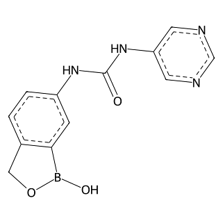 O=C(Nc1cncnc1)Nc1ccc2c(c1)B(O)OC2